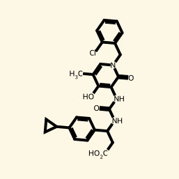 Cc1cn(Cc2ccccc2Cl)c(=O)c(NC(=O)NC(CC(=O)O)c2ccc(C3CC3)cc2)c1O